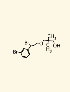 CC(C)(CO)COCCC(Br)c1cccc(Br)c1